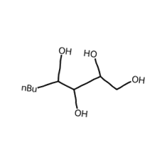 CCCCC(O)C(O)C(O)CO